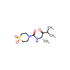 CC(C)C(=O)[C@H](C)NC(=O)N1CCS(=O)(=O)CC1